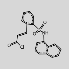 O=C(Cl)/C=C/c1ccccc1S(=O)(=O)Nc1cccc2ccccc12